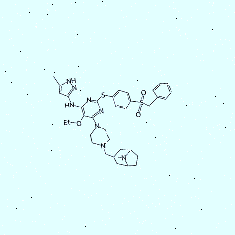 CCOc1c(Nc2cc(C)[nH]n2)nc(Sc2ccc(S(=O)(=O)Cc3ccccc3)cc2)nc1N1CCN(CC2CC3CCC(C2)N3C)CC1